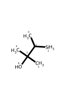 CC([SiH3])C(C)(C)O